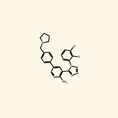 Nc1ncc(-c2ccc(CN3CCCC3)cc2)cc1-c1nnnn1-c1cccc(Cl)c1Cl